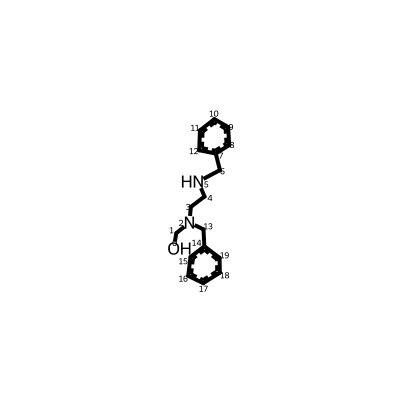 OCN(CCNCc1ccccc1)Cc1ccccc1